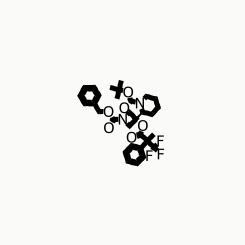 CC(C)(C)OC(=O)N1CCCC[C@H]1C1(OC(=O)C(C)(c2ccccc2)C(F)(F)F)CN(C(=O)OCc2ccccc2)C1